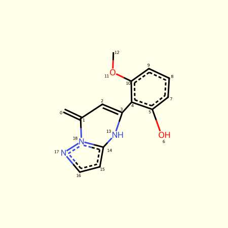 C=C1C=C(c2c(O)cccc2OC)Nc2ccnn21